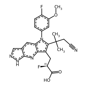 COc1cc(-n2c(C(C)(C)CC#N)c(C[C@H](F)C(=O)O)c3nc4[nH]ncc4cc32)ccc1F